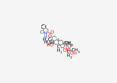 CC(C)(O)[C@@H]1CC[C@](C)([C@H]2[C@@H](O)C[C@@]3(C)C4C[C@H](O)[C@H]5C(C)(C)[C@@H](OC(=O)[C@H](Cc6ccccc6)NCl)CC[C@@]56CC46CC[C@]23C)O1